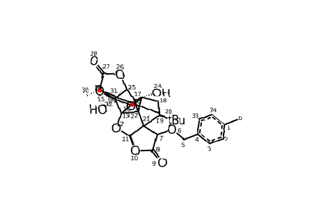 Cc1ccc(COC2C(=O)OC3OC45C(=O)OC6CC(C(C)(C)C)C32C64[C@@H](O)C2OC(=O)[C@@H](C)[C@@]25O)cc1